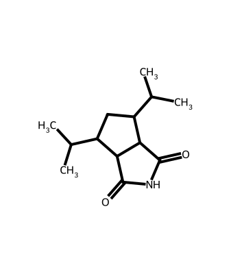 CC(C)C1CC(C(C)C)C2C(=O)NC(=O)C12